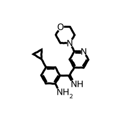 N=C(c1ccnc(N2CCOCC2)c1)c1cc(C2CC2)ccc1N